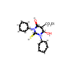 CCOC(=O)c1c(O)n(-c2ccccc2)c(=S)n(-c2ccccc2)c1=O